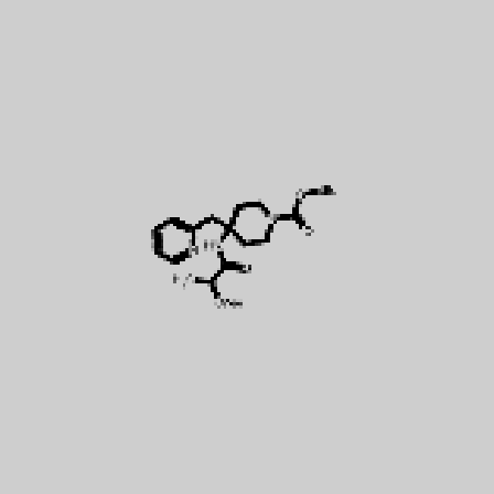 COC(C)C(=O)NC1(Cc2ccccn2)CCN(C(=O)OC(C)(C)C)CC1